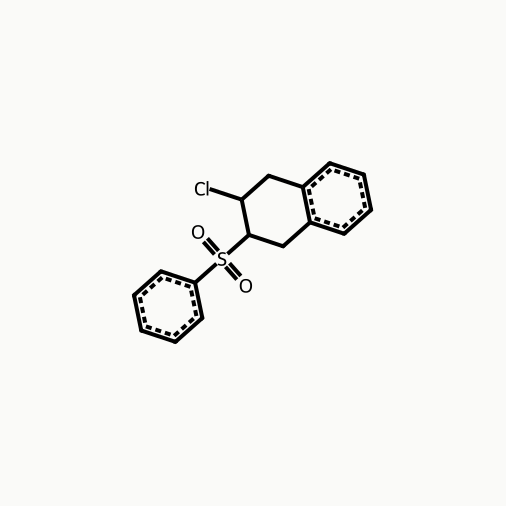 O=S(=O)(c1ccccc1)C1Cc2ccccc2CC1Cl